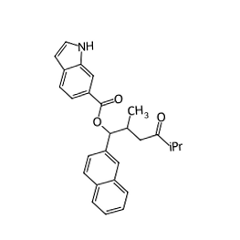 CC(C)C(=O)CC(C)C(OC(=O)c1ccc2cc[nH]c2c1)c1ccc2ccccc2c1